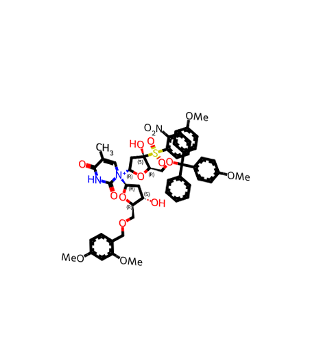 COc1ccc(C(OC[C@H]2O[C@@H]([N+]3([C@H]4C[C@H](O)[C@@H](COCc5ccc(OC)cc5OC)O4)C=C(C)C(=O)NC3=O)C[C@]2(O)S(=O)(=O)c2ccccc2[N+](=O)[O-])(c2ccccc2)c2ccc(OC)cc2)cc1